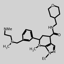 CCn1ncc2c1N(C)C(c1cccc(CN(C)CCNC)c1)CC2C(=O)NCC1CCOCC1